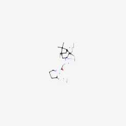 C[C@H]1[C@@H](NCC(=O)N2[C@H](C#N)CC[C@@H]2C)C[C@@H]2C[C@@H]1C2(C)C